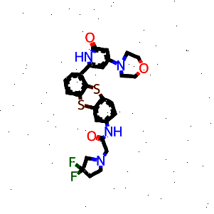 O=C(CN1CCC(F)(F)C1)Nc1ccc2c(c1)Sc1cccc(-c3cc(N4CCOCC4)cc(=O)[nH]3)c1S2